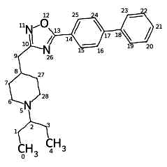 CCC(CC)N1CCC(Cc2noc(-c3ccc(-c4ccccc4)cc3)n2)CC1